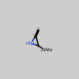 C=C1NC1NC